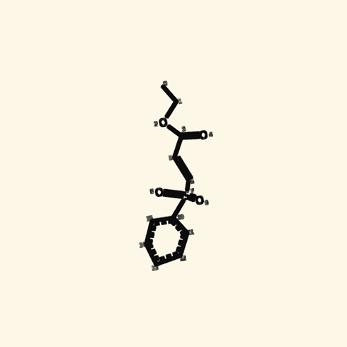 CCOC(=O)C=CS(=O)(=O)c1ccccc1